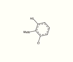 CNc1c(S)cccc1Cl